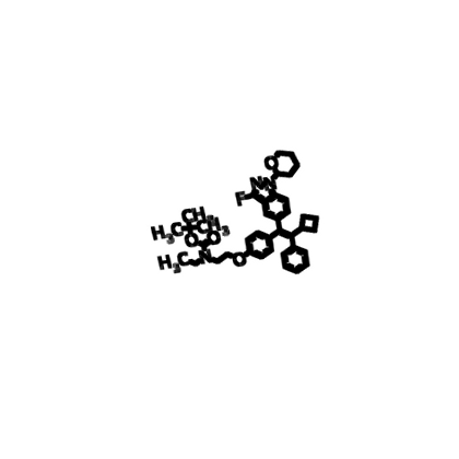 CCN(CCOc1ccc(/C(=C(\c2ccccc2)C2CCC2)c2ccc3c(c2)c(F)nn3C2CCCCO2)cc1)C(=O)OC(C)(C)C